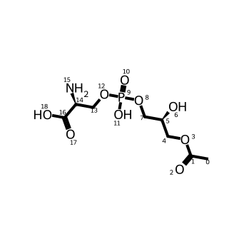 CC(=O)OC[C@H](O)COP(=O)(O)OC[C@H](N)C(=O)O